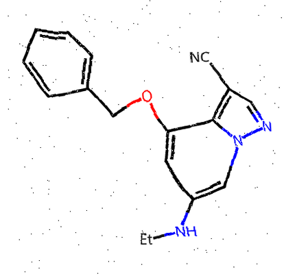 CCNc1cc(OCc2ccccc2)c2c(C#N)cnn2c1